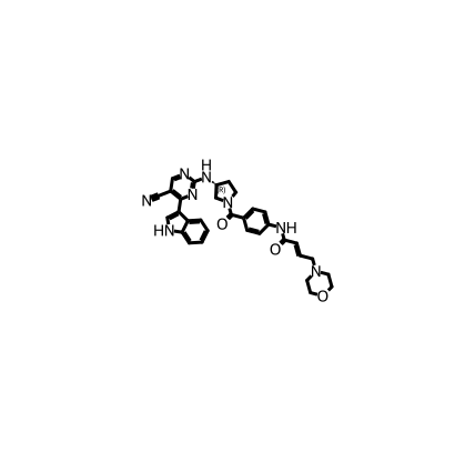 N#Cc1cnc(N[C@@H]2CCN(C(=O)c3ccc(NC(=O)C=CCN4CCOCC4)cc3)C2)nc1-c1c[nH]c2ccccc12